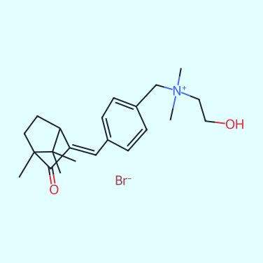 CC12CCC(C(=Cc3ccc(C[N+](C)(C)CCO)cc3)C1=O)C2(C)C.[Br-]